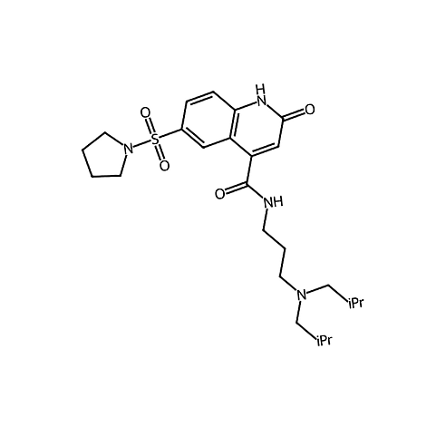 CC(C)CN(CCCNC(=O)c1cc(=O)[nH]c2ccc(S(=O)(=O)N3CCCC3)cc12)CC(C)C